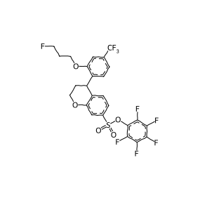 O=S(=O)(Oc1c(F)c(F)c(F)c(F)c1F)c1ccc2c(c1)OCCC2c1ccc(C(F)(F)F)cc1OCCCF